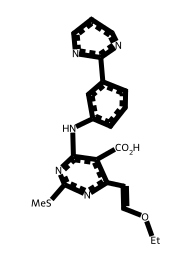 CCOC=Cc1nc(SC)nc(Nc2cccc(-c3ncccn3)c2)c1C(=O)O